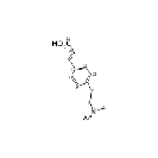 CC(=O)N(C)CCc1ccc(C=CC(=O)O)cc1